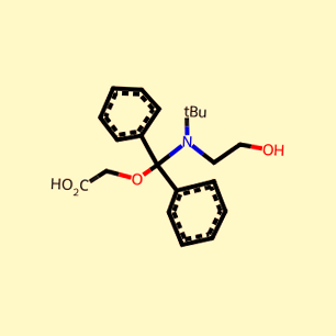 CC(C)(C)N(CCO)C(OCC(=O)O)(c1ccccc1)c1ccccc1